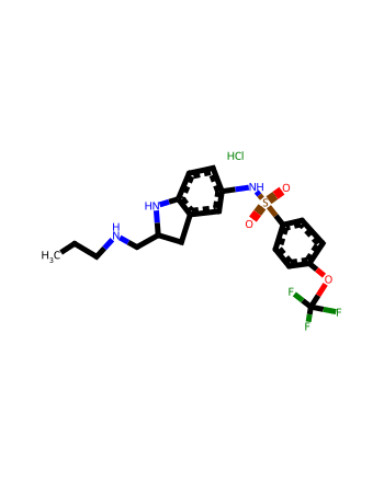 CCCNCC1Cc2cc(NS(=O)(=O)c3ccc(OC(F)(F)F)cc3)ccc2N1.Cl